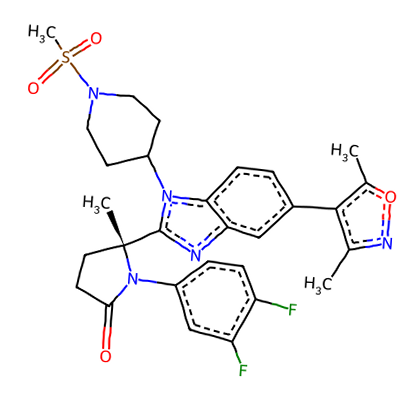 Cc1noc(C)c1-c1ccc2c(c1)nc([C@@]1(C)CCC(=O)N1c1ccc(F)c(F)c1)n2C1CCN(S(C)(=O)=O)CC1